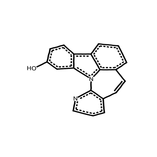 Oc1ccc2c3cccc4c3n(c2c1)-c1ncccc1C=C4